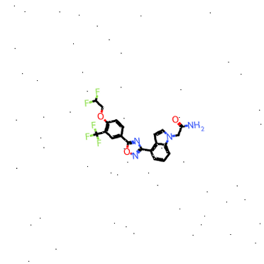 NC(=O)Cn1ccc2c(-c3noc(-c4ccc(OCC(F)F)c(C(F)(F)F)c4)n3)cccc21